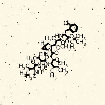 CC[C@H](C)[C@@H]([C@@H](CC(=O)N1[C@H]2C[C@H]2C[C@H]1[C@H](OC)[C@@H](C)C(=O)N[C@@H](Cc1ccccc1Cl)C(=O)OC(C)(C)C)OC)N(C)C(=O)[C@@H](NC(=O)[C@@H](NC)C(C)C)C(C)C